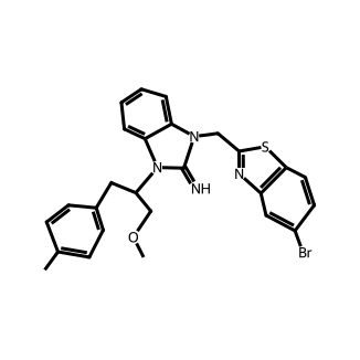 COCC(Cc1ccc(C)cc1)n1c(=N)n(Cc2nc3cc(Br)ccc3s2)c2ccccc21